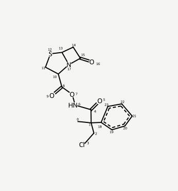 CC(CCl)(C(=O)NOC(=O)C1CSC2CC(=O)N21)c1ccccc1